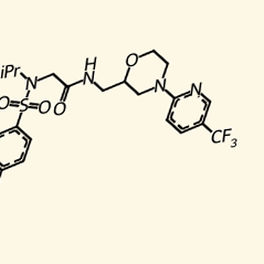 CC(C)N(CC(=O)NCC1CN(c2ccc(C(F)(F)F)cn2)CCO1)S(=O)(=O)c1ccc(F)cc1